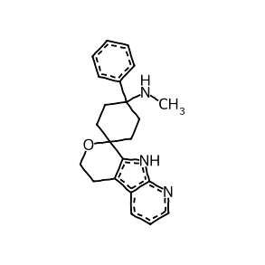 CNC1(c2ccccc2)CCC2(CC1)OCCc1c2[nH]c2ncccc12